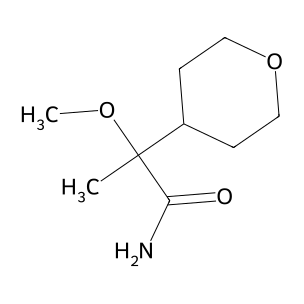 COC(C)(C(N)=O)C1CCOCC1